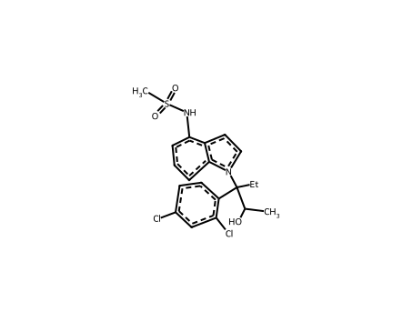 CCC(c1ccc(Cl)cc1Cl)(C(C)O)n1ccc2c(NS(C)(=O)=O)cccc21